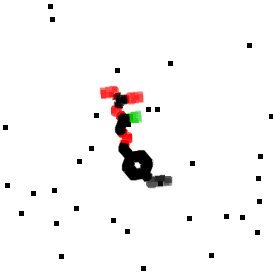 COc1ccc(COCC(Cl)OB(O)O)cc1